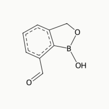 O=Cc1cccc2c1B(O)OC2